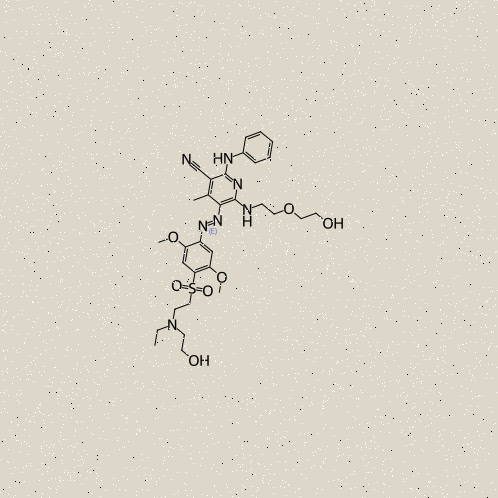 CCN(CCO)CCS(=O)(=O)c1cc(OC)c(/N=N/c2c(NCCOCCO)nc(Nc3ccccc3)c(C#N)c2C)cc1OC